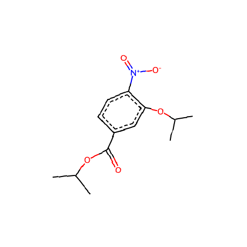 CC(C)OC(=O)c1ccc([N+](=O)[O-])c(OC(C)C)c1